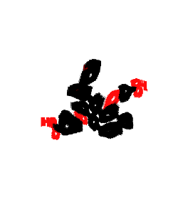 O=C(O)c1ccc(Oc2ccccc2-c2ccc(C34CC5CC(C3)CC(C36CC7CC(CC(C7)C3)C6)(C5)C4)cc2-c2cc(C34CC5CC(C3)CC(C36CC7CC(CC(C7)C3)C6)(C5)C4)ccc2-c2ccccc2Oc2ccc(C(=O)O)cc2)cc1